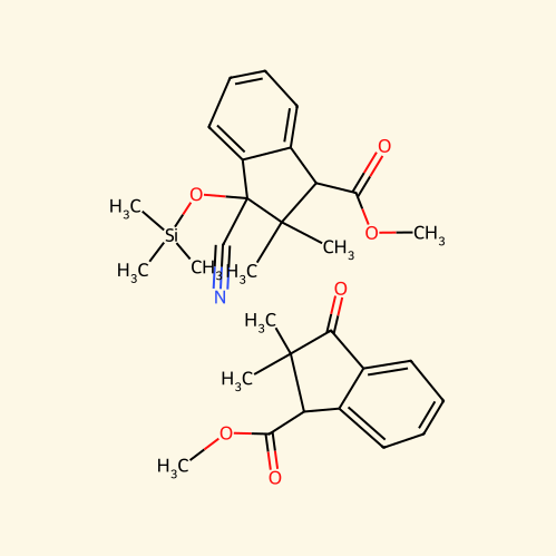 COC(=O)C1c2ccccc2C(=O)C1(C)C.COC(=O)C1c2ccccc2C(C#N)(O[Si](C)(C)C)C1(C)C